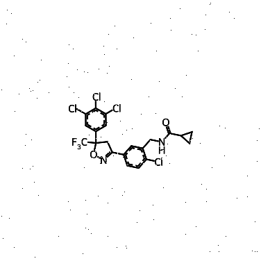 O=C(NCc1cc(C2=NOC(c3cc(Cl)c(Cl)c(Cl)c3)(C(F)(F)F)C2)ccc1Cl)C1CC1